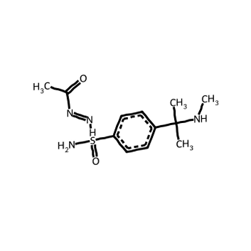 CNC(C)(C)c1ccc([SH](N)(=O)/N=N/C(C)=O)cc1